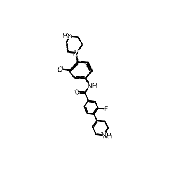 O=C(Nc1ccc(N2CCNCC2)c(Cl)c1)c1ccc(C2=CCNCC2)c(F)c1